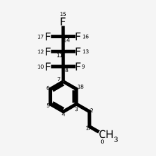 C[CH]Cc1cccc(C(F)(F)C(F)(F)C(F)(F)F)c1